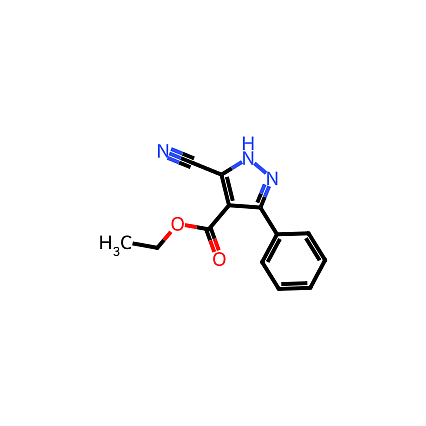 CCOC(=O)c1c(-c2ccccc2)n[nH]c1C#N